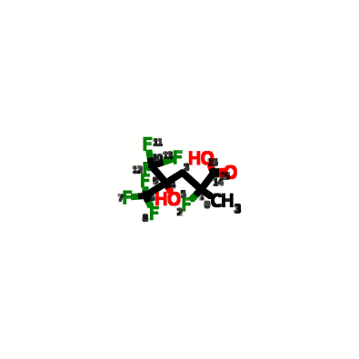 CC(F)(CC(O)(C(F)(F)F)C(F)(F)F)C(=O)O